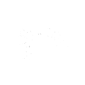 COc1ccc(S(C)(=O)=O)cc1NCC#Cc1cc(C(=O)N[C@@H]2CCN(C)[C@H](C)C2)c2ncn(CC(F)(F)F)c2c1